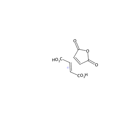 O=C(O)/C=C/C(=O)O.O=C1C=CC(=O)O1